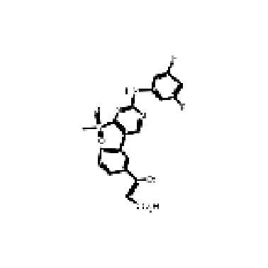 CC/C(=C\C(=O)O)c1cccc(-c2cnc(Nc3cc(F)cc(F)c3)nc2S(C)(=O)=O)c1